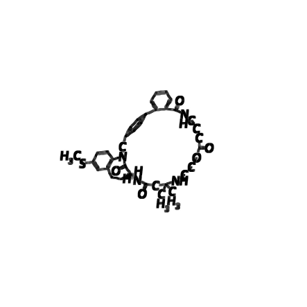 CSc1ccc2c(c1)CC[C@H]1NC(=O)CC(C)(C)NCCOC(=O)CCCNC(=O)c3ccccc3-c3ccc(cc3)CN2C1=O